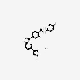 Cl.Cl.O=C(Nc1ccc(F)cn1)c1ccc(-c2cnc3ccc(-c4cn[nH]c4)cn23)cc1Cl